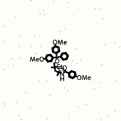 CCC(C)(COC(c1ccccc1)(c1ccc(OC)cc1)c1ccc(OC)cc1)CC(C)(CC)NC(=O)c1ccc(OC)cc1